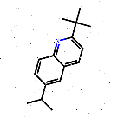 CC(C)c1ccc2nc(C(C)(C)C)ccc2c1